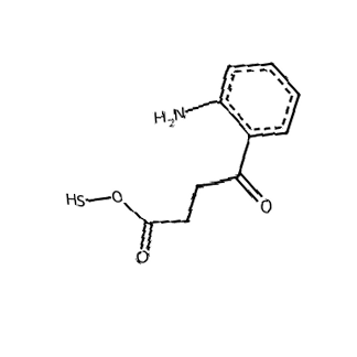 Nc1ccccc1C(=O)CCC(=O)OS